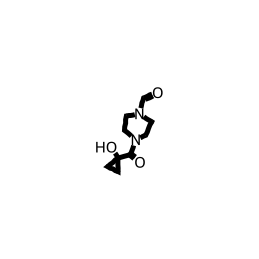 O=CN1CCN(C(=O)C2(O)CC2)CC1